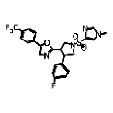 Cn1cnc(S(=O)(=O)N2CC(c3ccc(F)cc3)C(c3ncc(-c4ccc(C(F)(F)F)cc4)o3)C2)c1